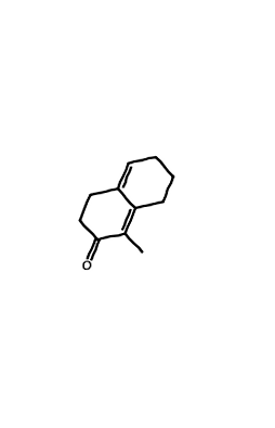 CC1=C2CCCC=C2CCC1=O